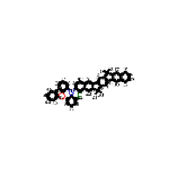 CC1(C)c2cc3c(cc2-c2cc4ccccc4cc21)C(C)(C)c1cc2cc(N(c4ccccc4F)c4cccc5c4oc4ccccc45)ccc2cc1-3